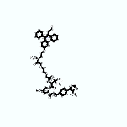 Cc1ncsc1-c1ccc(CNC(=O)[C@@H]2C[C@@H](O)CN2C(=O)[C@@H](NC(=O)COCCOCC(=O)N(C)CCOc2ccc(/C(=C(/CCCl)c3ccccc3)c3ccccc3)cc2)C(C)(C)C)cc1